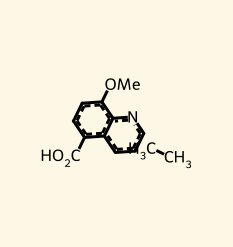 CC.COc1ccc(C(=O)O)c2cccnc12